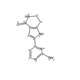 Nc1nccc(-c2cc3c([nH]2)CCNC3=O)n1